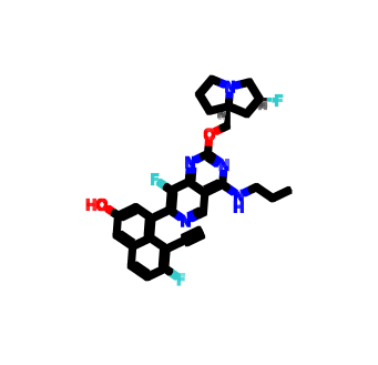 C#Cc1c(F)ccc2cc(O)cc(-c3ncc4c(NCCC)nc(OC[C@@]56CCCN5C[C@H](F)C6)nc4c3F)c12